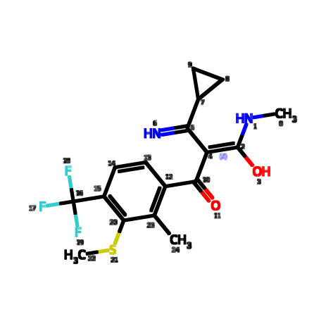 CN/C(O)=C(\C(=N)C1CC1)C(=O)c1ccc(C(F)(F)F)c(SC)c1C